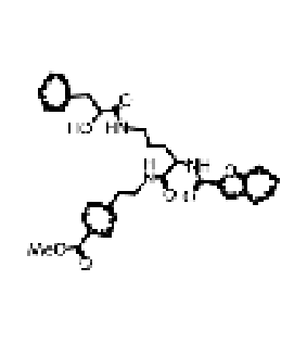 COC(=O)c1ccc(CCNC(=O)C(CCCNC(=O)C(O)Cc2ccccc2)NC(=O)c2cc3ccccc3o2)cc1